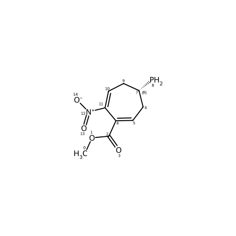 COC(=O)C1=CC[C@@H](P)CC=C1[N+](=O)[O-]